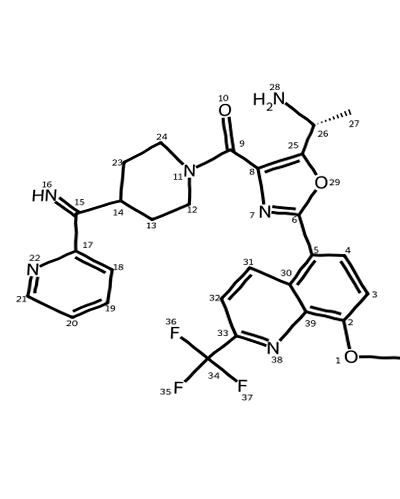 COc1ccc(-c2nc(C(=O)N3CCC(C(=N)c4ccccn4)CC3)c([C@@H](C)N)o2)c2ccc(C(F)(F)F)nc12